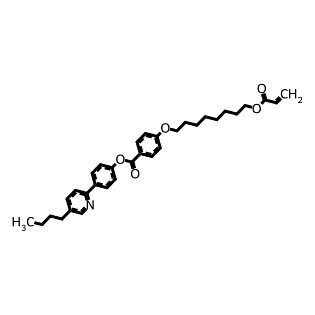 C=CC(=O)OCCCCCCCCOc1ccc(C(=O)Oc2ccc(-c3ccc(CCCC)cn3)cc2)cc1